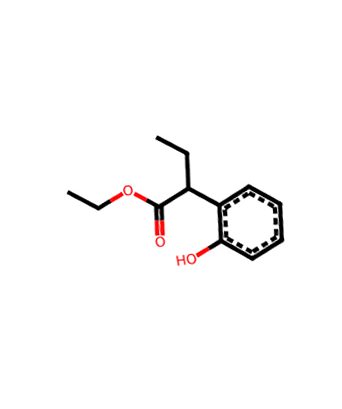 CCOC(=O)C(CC)c1ccccc1O